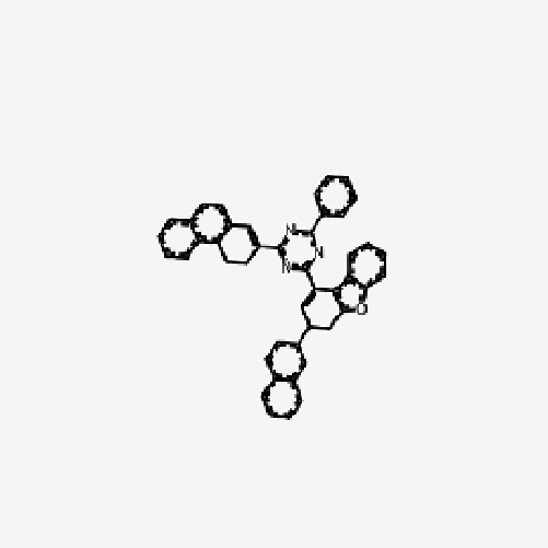 C1=C(c2nc(C3=CC(c4ccc5ccccc5c4)Cc4oc5ccccc5c43)nc(-c3ccccc3)n2)CCc2c1ccc1ccccc21